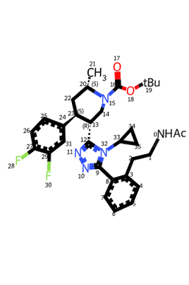 CC(=O)NCCc1ccccc1-c1nnc([C@H]2CN(C(=O)OC(C)(C)C)[C@@H](C)C[C@@H]2c2ccc(F)c(F)c2)n1C1CC1